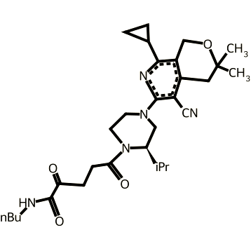 CCCCNC(=O)C(=O)CCC(=O)N1CCN(c2nc(C3CC3)c3c(c2C#N)CC(C)(C)OC3)C[C@H]1C(C)C